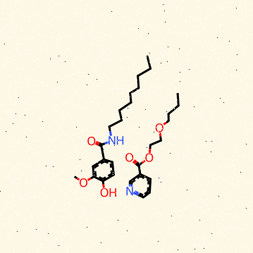 CCCCCCCCCNC(=O)c1ccc(O)c(OC)c1.CCCCOCCOC(=O)c1cccnc1